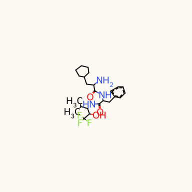 CC(C)C(NC(=O)C(Cc1ccccc1)NC(=O)C(N)CC1CCCCC1)C(O)C(F)(F)F